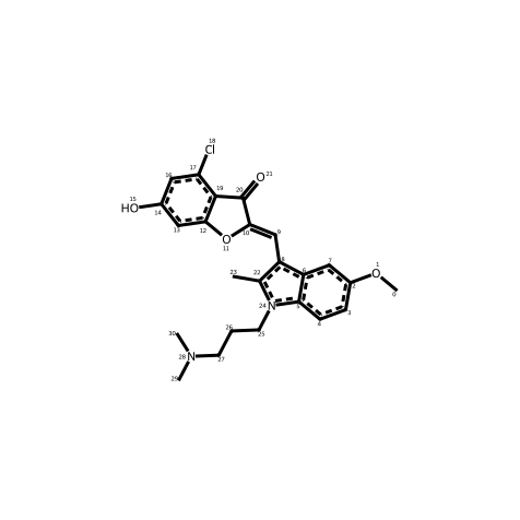 COc1ccc2c(c1)c(/C=C1\Oc3cc(O)cc(Cl)c3C1=O)c(C)n2CCCN(C)C